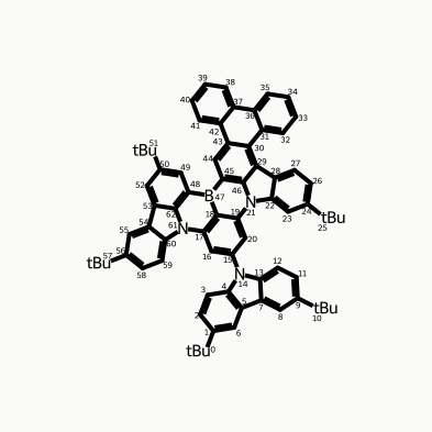 CC(C)(C)c1ccc2c(c1)c1cc(C(C)(C)C)ccc1n2-c1cc2c3c(c1)-n1c4cc(C(C)(C)C)ccc4c4c5c6ccccc6c6ccccc6c5cc(c41)B3c1cc(C(C)(C)C)cc3c4cc(C(C)(C)C)ccc4n-2c13